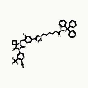 N#Cc1ncc(N2C(=O)N(Cc3ccc(-c4cn(CCCCCC(=O)NOC(c5ccccc5)(c5ccccc5)c5ccccc5)nn4)cc3F)C3(CCC3)C2=O)cc1C(F)(F)F